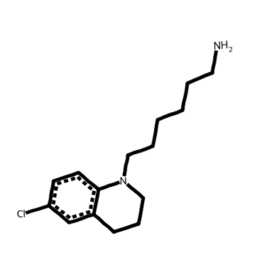 NCCCCCCN1CCCc2cc(Cl)ccc21